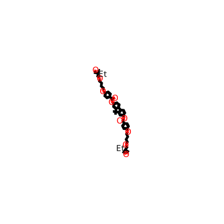 CCC1(COCCCCOc2ccc(C(=O)Oc3ccc4c(c3)C(C)(C)c3cc(OC(=O)c5ccc(OCCCCOCC6(CC)COC6)cc5)ccc3-4)cc2)COC1